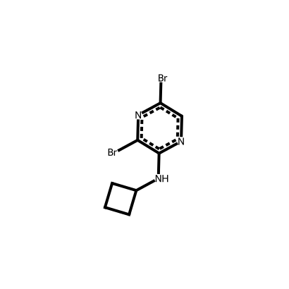 Brc1cnc(NC2CCC2)c(Br)n1